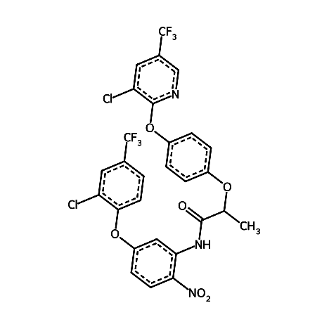 CC(Oc1ccc(Oc2ncc(C(F)(F)F)cc2Cl)cc1)C(=O)Nc1cc(Oc2ccc(C(F)(F)F)cc2Cl)ccc1[N+](=O)[O-]